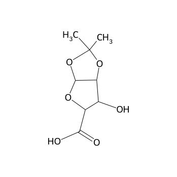 CC1(C)OC2OC(C(=O)O)C(O)C2O1